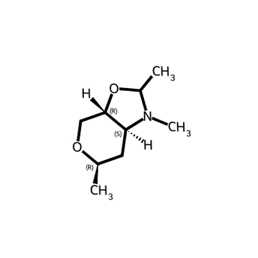 CC1O[C@H]2CO[C@H](C)C[C@@H]2N1C